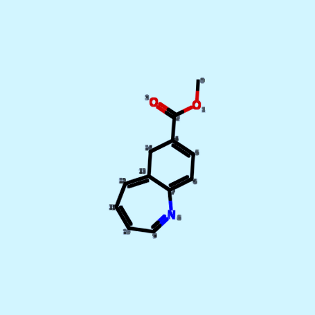 COC(=O)C1=CC=C2N=CC=CC=C2C1